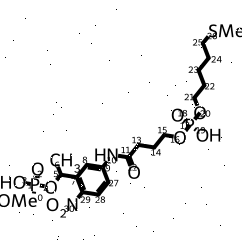 COP(=O)(O)OC(C)c1cc(NC(=O)CCCOP(=O)(O)OCCCCCSC)ccc1[N+](=O)[O-]